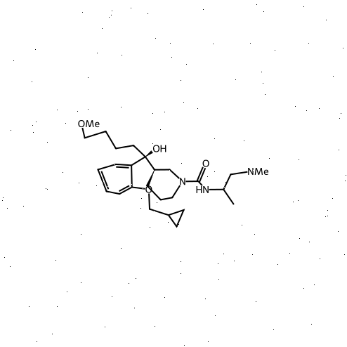 CNCC(C)NC(=O)N1CCC[C@@H]([C@@](O)(CCCCOC)c2ccccc2OCC2CC2)C1